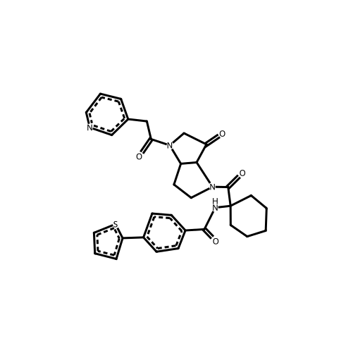 O=C(NC1(C(=O)N2CCC3C2C(=O)CN3C(=O)Cc2cccnc2)CCCCC1)c1ccc(-c2cccs2)cc1